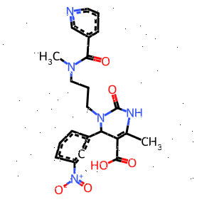 CC1=C(C(=O)O)C(c2cccc([N+](=O)[O-])c2)N(CCCN(C)C(=O)c2cccnc2)C(=O)N1